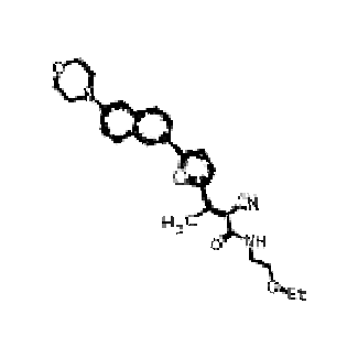 CCOCCNC(=O)/C(C#N)=C(\C)c1ccc(-c2ccc3cc(N4CCOCC4)ccc3c2)o1